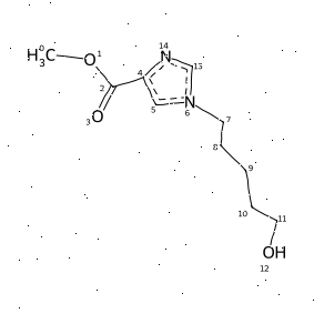 COC(=O)c1cn(CCCCCO)cn1